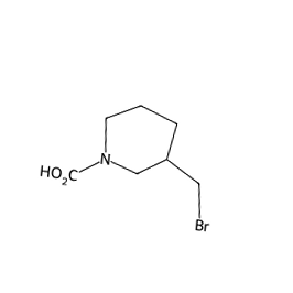 O=C(O)N1CCCC(CBr)C1